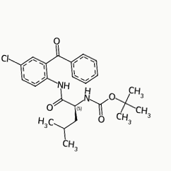 CC(C)C[C@H](NC(=O)OC(C)(C)C)C(=O)Nc1ccc(Cl)cc1C(=O)c1ccccc1